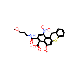 COCCCNC(=O)c1cc([N+](=O)[O-])c2c3c(cc(OC)c2c1C(=O)O)Sc1ccccc1C3